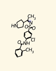 C/C(=N/S(=O)(=O)c1ccc(NC(=O)c2ccccc2C)c(Cl)c1)C1CCNCC1